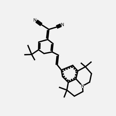 CC(C)(C)C1=CC(=C(C#N)C#N)C=C(/C=C/c2cc3c4c(c2)C(C)(C)CCN4CCC3(C)C)C1